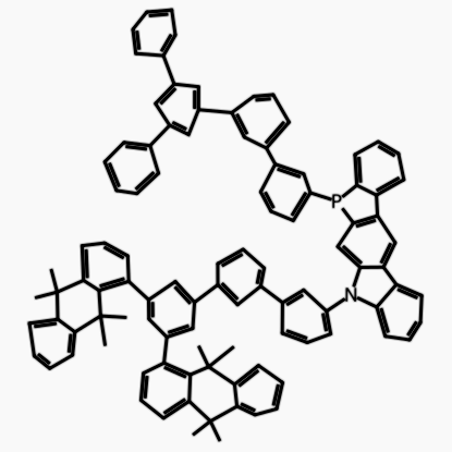 CC1(C)c2ccccc2C(C)(C)c2c(-c3cc(-c4cccc(-c5cccc(-n6c7ccccc7c7cc8c9ccccc9p(-c9cccc(-c%10cccc(-c%11cc(-c%12ccccc%12)cc(-c%12ccccc%12)c%11)c%10)c9)c8cc76)c5)c4)cc(-c4cccc5c4C(C)(C)c4ccccc4C5(C)C)c3)cccc21